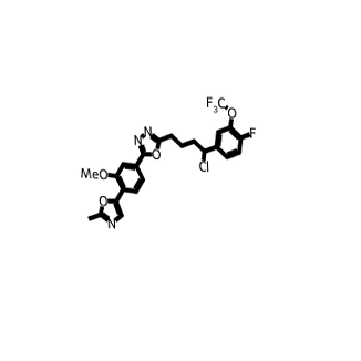 COc1cc(-c2nnc(CCCC(Cl)c3ccc(F)c(OC(F)(F)F)c3)o2)ccc1-c1cnc(C)o1